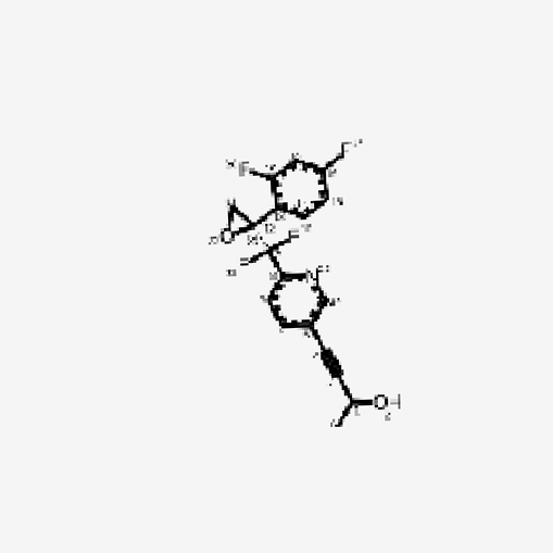 CC(O)C#Cc1ccc(C(F)(F)[C@@]2(c3ccc(F)cc3F)CO2)nc1